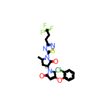 CC1C[C@H](N2CC(Oc3ccccc3Cl)=CC2=O)C(=O)N1c1nc(CCC(F)(F)F)ns1